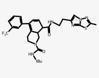 Cc1nn2cc(CCNC(=O)C3C=CC(c4cccc(C(F)(F)F)c4)=C4CCN(C(=O)NC(C)(C)C)CC43)nc2s1